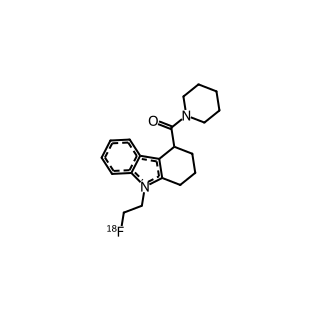 O=C(C1CCCc2c1c1ccccc1n2CC[18F])N1CCCCC1